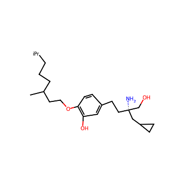 CC(C)CCCC(C)CCOc1ccc(CC[C@@](N)(CO)CC2CC2)cc1O